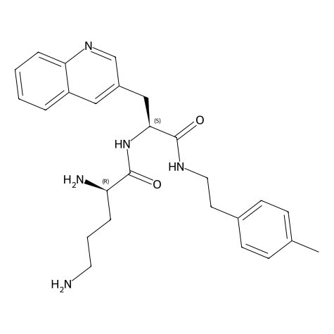 Cc1ccc(CCNC(=O)[C@H](Cc2cnc3ccccc3c2)NC(=O)[C@H](N)CCCN)cc1